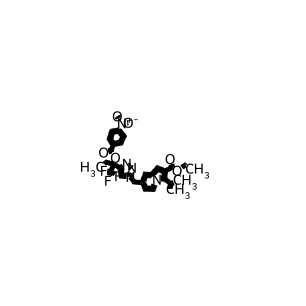 CCOC(=O)c1cc2cc(Cn3cc(C(CC)(OC(=O)c4ccc([N+](=O)[O-])cc4)C(F)(F)F)nn3)ccn2c1C(C)C